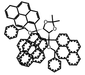 CC1(C)O[C@@H](C(OCc2ccccc2)(C2=C3C=CC4=C5C(=CC=C(C=C2)C35)CC=C4)c2ccc3ccc4cccc5ccc2c3c45)[C@H](C(OCc2ccccc2)(c2ccc3ccc4cccc5ccc2c3c45)c2ccc3ccc4cccc5ccc2c3c45)O1